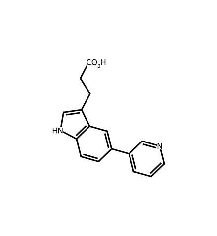 O=C(O)CCc1c[nH]c2ccc(-c3cccnc3)cc12